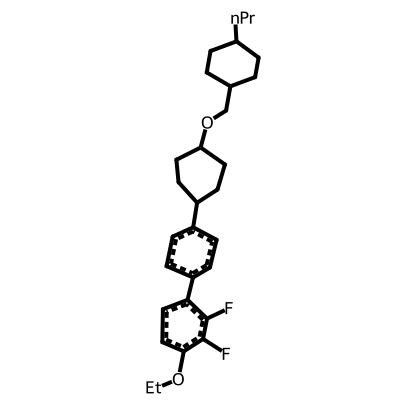 CCCC1CCC(COC2CCC(c3ccc(-c4ccc(OCC)c(F)c4F)cc3)CC2)CC1